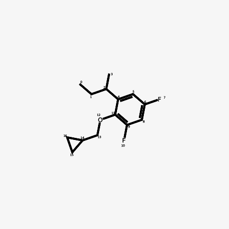 CCC(C)c1cc(F)cc(F)c1OCC1CC1